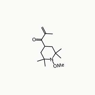 C=C(C)C(=O)C1CC(C)(C)N(OC)C(C)(C)C1